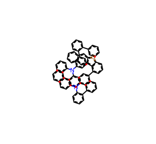 c1ccc(-c2ccccc2-c2cccc(N(c3ccccc3-c3ccccc3)c3ccccc3-c3cccc(N(c4ccc(-c5cccc6sc7cc8ccccc8cc7c56)cc4)c4ccccc4-c4ccccc4)c3)c2)cc1